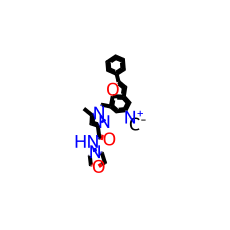 [C-]#[N+]c1cc(Cn2nc(C(=O)NN3CCOCC3)cc2C)c2oc(-c3ccccc3)cc2c1